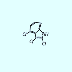 Clc1[nH]c2cccc(Cl)c2c1Cl